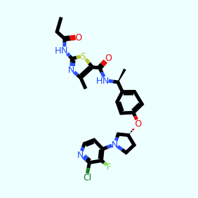 CCC(=O)Nc1nc(C)c(C(=O)N[C@@H](C)c2ccc(O[C@@H]3CCN(c4ccnc(Cl)c4F)C3)cc2)s1